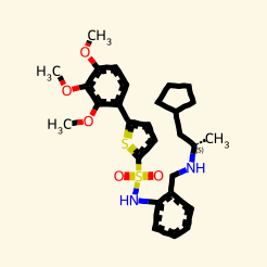 COc1ccc(-c2ccc(S(=O)(=O)Nc3ccccc3CN[C@@H](C)CC3CCCC3)s2)c(OC)c1OC